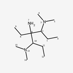 CCC(N(C)C)C(N)(CC)C(CC)N(C)C